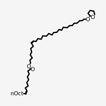 CCCCCCCC/C=C\CCCCCCCC(=O)OCCCCCCC/C=C\CCCCCCCCCCCCCCCCCCCCO[C@H]1CCCCO1